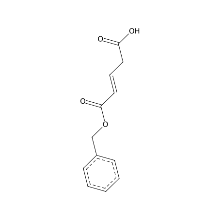 O=C(O)CC=CC(=O)OCc1ccccc1